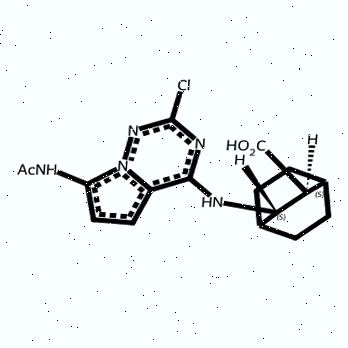 CC(=O)Nc1ccc2c(N[C@H]3C4CCC(CC4)[C@@H]3C(=O)O)nc(Cl)nn12